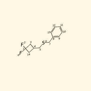 FC1(F)CC(CSCc2ccccc2)C1